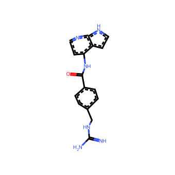 N=C(N)NCc1ccc(C(=O)Nc2ccnc3[nH]ccc23)cc1